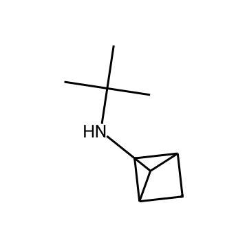 CC(C)(C)NC1C2CC1C2